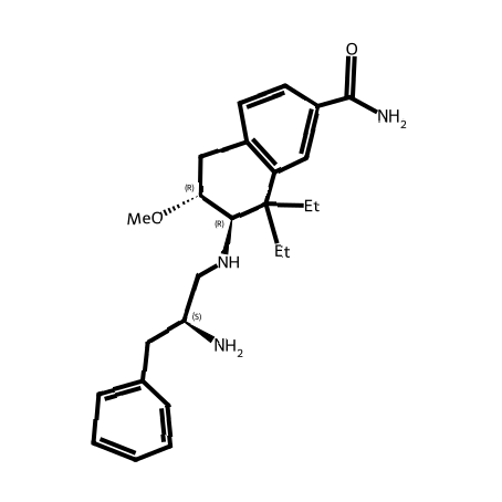 CCC1(CC)c2cc(C(N)=O)ccc2C[C@@H](OC)[C@@H]1NC[C@@H](N)Cc1ccccc1